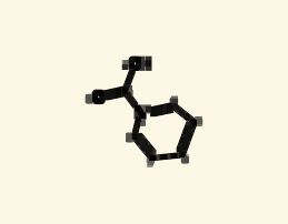 O=C(O)[n+]1ccccc1